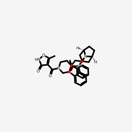 Cc1o[nH]c(=O)c1C(=O)N1CCC(CCN2[C@@H]3CC[C@H]2CC(n2c(C)nc4ccccc42)C3)(c2ccccc2)CC1